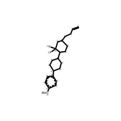 C=CCCC1CCC(C2CCC(c3ccc(OC)cc3)CC2)C(F)(F)C1